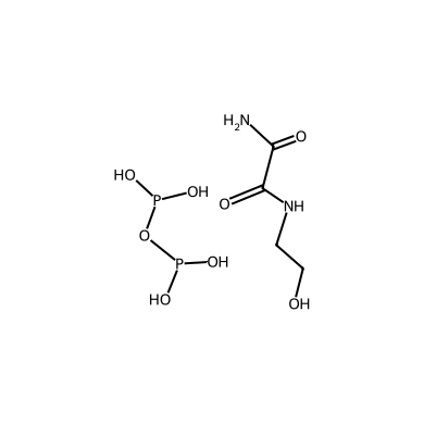 NC(=O)C(=O)NCCO.OP(O)OP(O)O